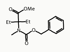 CCC(CC)(C(=O)OC)N(C)C(=O)OCc1ccccc1